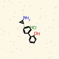 Cl.N[C@@H]1C[C@H]1c1ccc(-c2ccccc2O)cc1